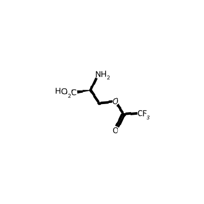 N[C@@H](COC(=O)C(F)(F)F)C(=O)O